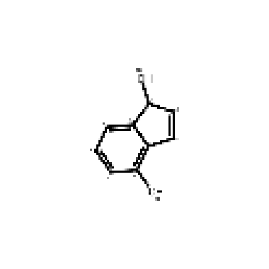 Oc1cccc2c1C=CC2O